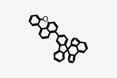 c1ccc2c(c1)Oc1ccc(-c3ccc4c(c3)-c3ccccc3C43c4ccccc4-c4cccc5cccc3c45)c3cccc-2c13